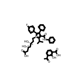 CC(=O)c1cccc(C(=O)O)c1O.CC(C)c1c(C(=O)Nc2ccccc2)c(-c2ccccc2)c(-c2ccc(F)cc2)n1CC[C@@H](O)C[C@@H](O)CC(=O)O